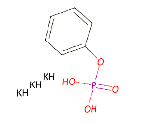 O=P(O)(O)Oc1ccccc1.[KH].[KH].[KH]